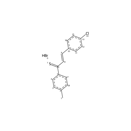 Br.Cc1ccc(C(=S)C=Cc2ccc(Cl)cc2)cc1